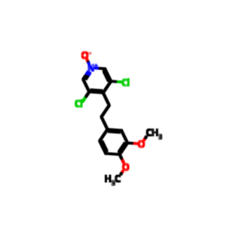 COc1ccc(CCc2c(Cl)c[n+]([O-])cc2Cl)cc1OC